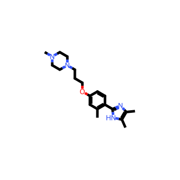 Cc1cc(OCCCN2CCN(C)CC2)ccc1-c1nc(C)c(C)[nH]1